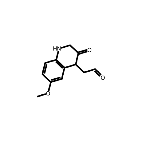 COc1ccc2c(c1)C(CC=O)C(=O)CN2